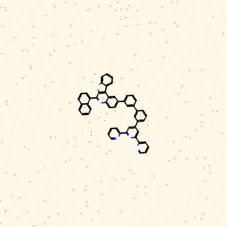 c1ccc(-c2cc(-c3cccc(-c4cccc(-c5ccc6nc(-c7cccc8ccccc78)c7oc8ccccc8c7c6c5)c4)c3)cc(-c3ccccn3)n2)nc1